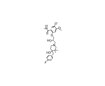 CNC(=O)c1cc(Cl)c(OC)cc1OCC(O)CN1CCC(O)(Cc2ccc(F)cc2)C(C)(C)C1